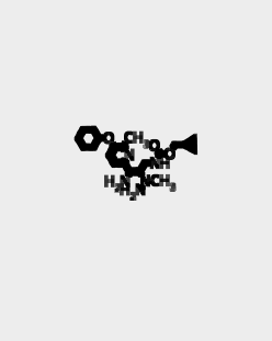 Cc1nc(/C(N)=C(\CNC(=O)OCC2CC2)N(C)N)ccc1OC1CCCCC1